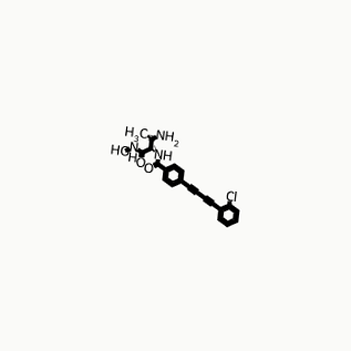 C[C@@H](N)[C@H](NC(=O)c1ccc(C#CC#Cc2ccccc2Cl)cc1)C(=O)NO